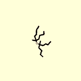 CCCCC(C)(CCCC)OC(C)(CCCC)CCCC